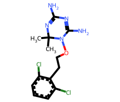 CC1(C)N=C(N)N=C(N)N1OCCc1c(Cl)cccc1Cl